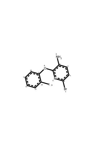 Nc1ccc(Br)nc1Oc1ccccc1I